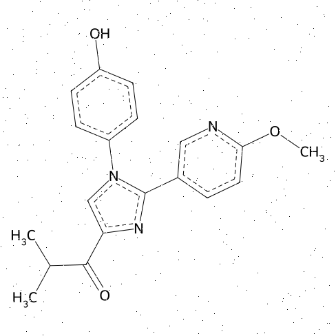 COc1ccc(-c2nc(C(=O)C(C)C)cn2-c2ccc(O)cc2)cn1